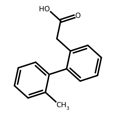 Cc1ccccc1-c1ccccc1CC(=O)O